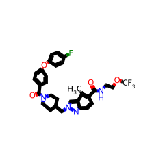 Cc1c(C(=O)NCCOC(F)(F)F)ccc2nn(CC3CCN(C(=O)c4ccc(Oc5ccc(F)cc5)cc4)CC3)cc12